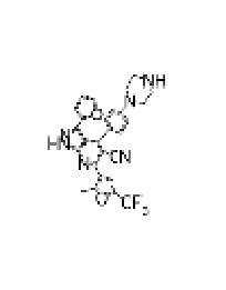 Cc1oc(C(F)(F)F)cc1-c1nc2[nH]nc(-c3ccco3)c2c(-c2ccc(N3CCNCC3)cc2)c1C#N